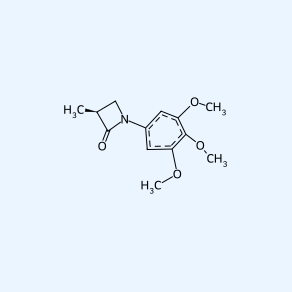 COc1cc(N2C[C@H](C)C2=O)cc(OC)c1OC